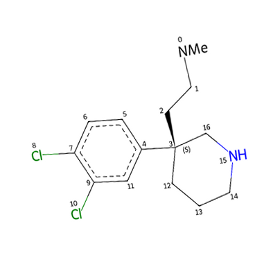 CNCC[C@]1(c2ccc(Cl)c(Cl)c2)CCCNC1